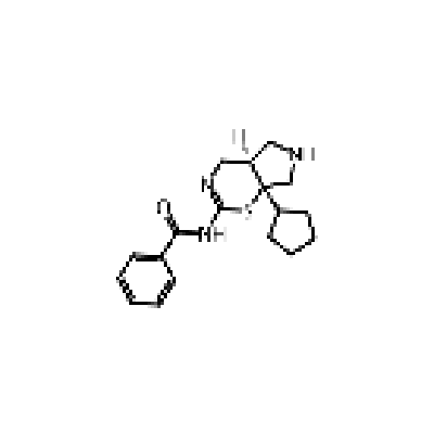 O=C(NC1=NC[C@H]2CNC[C@]2(C2CCCC2)S1)c1ccccc1